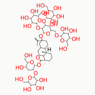 C=C1C[C@@]23CCC4[C@](C)(C(=O)OC5OC(CO)C(O)CC5OC5OC(CO)C(O)C(O)C5O)CCC[C@@]4(C)[C@@H]2CC[C@]1(OC1OC(COC2OC(CO)C(O)C(O)C2O)C(O)C(OC2OC(CO)C(O)C(O)C2O)C1OC1OC(CO)C(O)C(O)C1O)C3